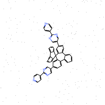 c1ccc2c(c1)-c1ccc(-c3cnc(-c4ccncc4)nc3)cc1C1(c3cc(-c4cnc(-c5ccncc5)nc4)ccc3-2)c2ccccc2-c2ccccc21